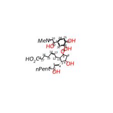 CCCCC[C@H](O)/C=C/[C@H]1[C@H](O)CC(=O)[C@@H]1C/C=C\CCCC(=O)O.CNC[C@H](O)c1ccc(O)c(O)c1